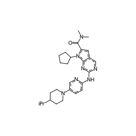 CC(C)C1CCN(c2ccc(Nc3ncc4cc(C(=O)N(C)C)n(C5CCCC5)c4n3)nc2)CC1